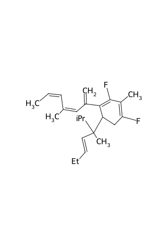 C=C(/C=C(C)\C=C/C)C1=C(F)C(C)=C(F)CC1C(C)(C=CCC)C(C)C